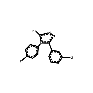 Fc1ccc(-n2c(S)nnc2-c2cccc(Cl)c2)cc1